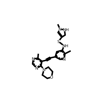 Cc1ncc(C#Cc2c(C)ncnc2N2CCOCC2)cc1NSC1=CN(C)NC1